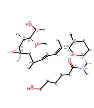 CO[C@H]([C@@H](C)[C@H]1O[C@]1(C)CC(C)/C=C/C=C(\C)[C@H]1O[C@@H](CN(C)C(=O)CCCCCO)CC[C@@H]1C)[C@@H](C)O